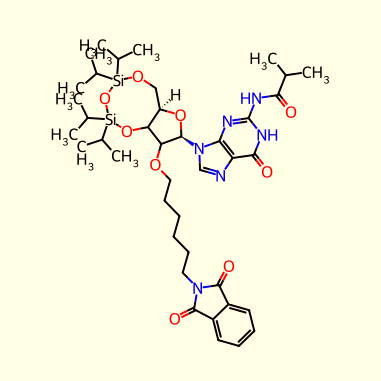 CC(C)C(=O)Nc1nc2c(ncn2[C@@H]2O[C@@H]3CO[Si](C(C)C)(C(C)C)O[Si](C(C)C)(C(C)C)OC3C2OCCCCCCN2C(=O)c3ccccc3C2=O)c(=O)[nH]1